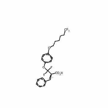 O=C(O)/C(=C/c1ccccc1)C(F)(F)Oc1ccc(OCCCCCC(F)(F)F)cc1